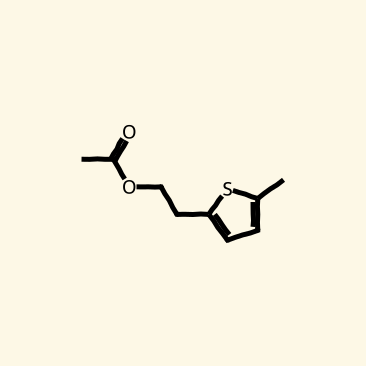 CC(=O)OCCc1ccc(C)s1